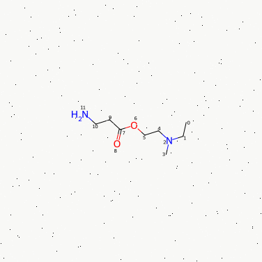 CCN(C)CCOC(=O)CCN